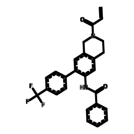 C=CC(=O)N1CCc2cc(NC(=O)c3ccccc3)c(-c3ccc(C(F)(F)F)cc3)cc2C1